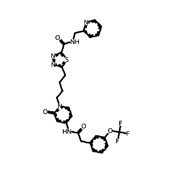 O=C(Cc1cccc(OC(F)(F)F)c1)Nc1ccn(CCCCc2nnc(C(=O)NCc3ccccn3)s2)c(=O)c1